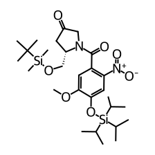 COc1cc(C(=O)N2CC(=O)C[C@H]2CO[Si](C)(C)C(C)(C)C)c([N+](=O)[O-])cc1O[Si](C(C)C)(C(C)C)C(C)C